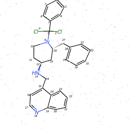 ClC(Cl)(c1ccccc1)N1CC[C@H](NCc2ccnc3ccccc23)C[C@H]1Cc1ccccc1